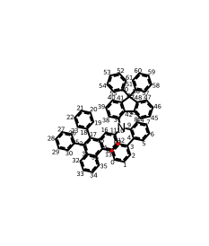 c1ccc(-c2ccccc2N(c2ccc3c(c2)c(-c2ccccc2)c(-c2ccccc2)c2ccccc23)c2cccc3c2-c2ccccc2C3(c2ccccc2)c2ccccc2)cc1